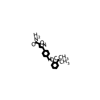 CC(C)(C)c1ccccc1OCc1ccc(-c2cc(C(N)=O)on2)cc1